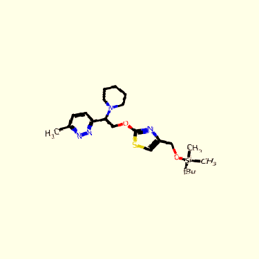 Cc1ccc(C(COc2nc(CO[Si](C)(C)C(C)(C)C)cs2)N2CCCCC2)nn1